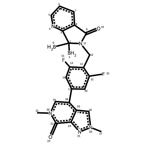 BC1(B)c2ncccc2C(=O)N1Cc1c(F)cc(-c2cn(C)c(=O)c3nn(C)cc23)cc1F